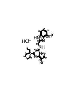 CCS(CC)(CC)c1nc(NCc2nc3c(OC)cccc3[nH]2)n2ncc(Br)c2n1.Cl